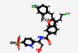 CCS(=O)(=O)c1ccc([C@H](CO)NC(=O)c2ccc3c(CCF)c(Cc4ccc(Cl)cc4C(F)(F)F)oc3c2)nc1